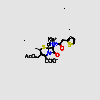 CC(=O)OCC1=C(C(=O)[O-])N2C(=O)C(NC(=O)Cc3cccs3)[C@@H]2S[C@H]1C.[Na+]